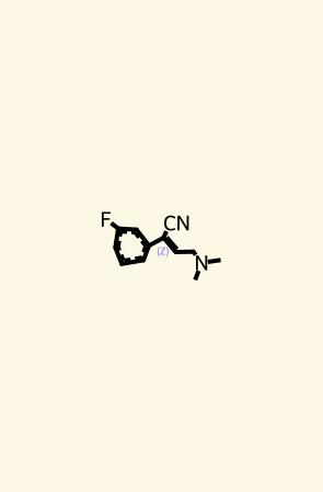 CN(C)C/C=C(\C#N)c1cccc(F)c1